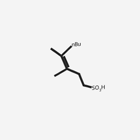 CCCCC(C)=C(C)CCS(=O)(=O)O